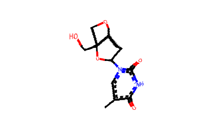 Cc1cn(C2CC3OCC3(CO)O2)c(=O)[nH]c1=O